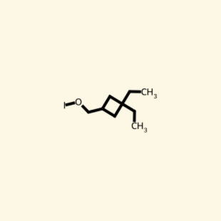 CCC1(CC)CC(COI)C1